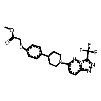 COC(=O)COc1ccc(C2CCN(c3ccc4nnc(C(F)(F)F)n4n3)CC2)cc1